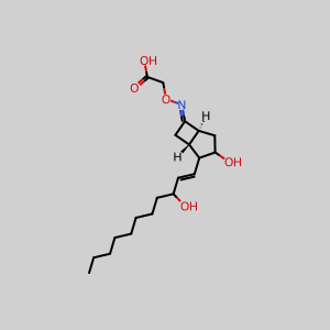 CCCCCCCCC(O)C=CC1C(O)C[C@@H]2C(=NOCC(=O)O)C[C@@H]12